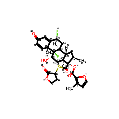 Cc1ccoc1C(=O)O[C@@]1(C(=O)S[C@H]2CCOC2=O)[C@H](C)C[C@H]2[C@@H]3C[C@H](F)C4=CC(=O)C=C[C@]4(C)[C@@]3(F)[C@@H](O)C[C@@]21C